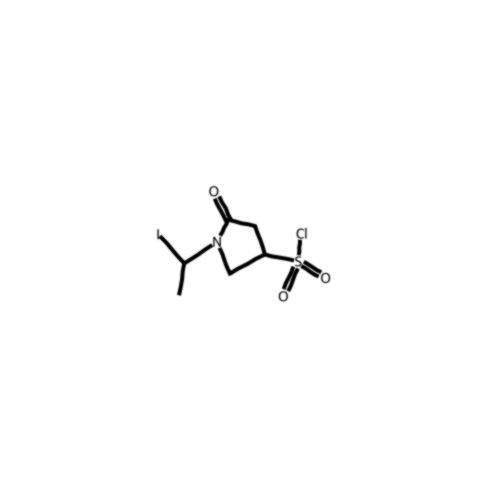 CC(I)N1CC(S(=O)(=O)Cl)CC1=O